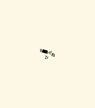 [B]#[Hf]#[B].[Zr]